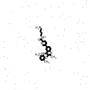 Cc1ccc(C)c(Nc2c(Cl)c(C)nc3ccc(-c4ccc(C(=O)NCCCCN)nc4)cc23)c1